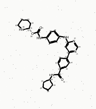 O=C(Nc1ccc(Nc2cc(-c3ccc(C(=O)NC4CCCC4)cc3)ncn2)cc1)O[C@H]1CCCCN1